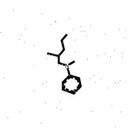 CCCC(C)CN(C)c1ccccc1